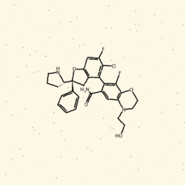 NC(=O)c1cc2c(c(F)c1-c1c(Cl)c(F)cc3c1C[C@](c1ccccc1)([C@@H]1CCCN1)O3)OCCN2CCO